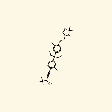 CCC(CC)(c1ccc(C#CC(O)C(C)(C)C)c(C)c1)c1ccc(OCC2COC(C)(C)O2)c(C)c1